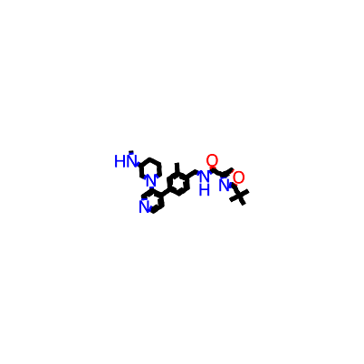 CNC1CCCN(c2cnccc2-c2ccc(CNC(=O)c3coc(C(C)(C)C)n3)c(C)c2)C1